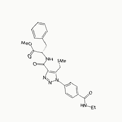 CCNC(=O)c1ccc(-n2nnc(C(=O)N[C@@H](Cc3ccccc3)C(=O)OC)c2CSC)cc1